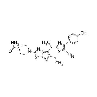 CCc1nc2sc(N3CCN(C(N)=O)CC3)nn2c1N(C)c1nc(-c2ccc(C)cc2)c(C#N)s1